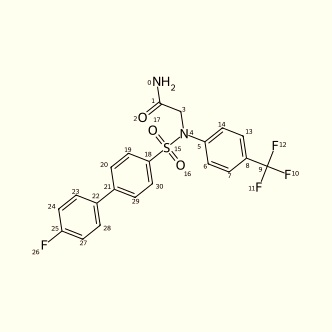 NC(=O)CN(c1ccc(C(F)(F)F)cc1)S(=O)(=O)c1ccc(-c2ccc(F)cc2)cc1